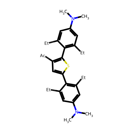 CCc1cc(N(C)C)cc(CC)c1-c1cc(C(C)=O)c(-c2c(CC)cc(N(C)C)cc2CC)s1